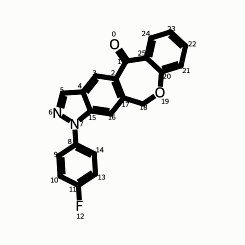 O=C1c2cc3cnn(-c4ccc(F)cc4)c3cc2COc2ccccc21